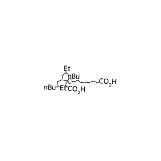 CCCCC(CC)CC(CC(CC)CCCC)C(CCCCCCCCC(=O)O)CC(=O)O